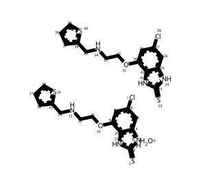 O.S=c1[nH]c2cc(Cl)cc(OCCNCc3cccs3)c2[nH]1.S=c1[nH]c2cc(Cl)cc(OCCNCc3cccs3)c2[nH]1